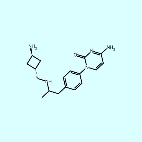 CC(Cc1ccc(-n2ccc(N)nc2=O)cc1)NC[C@H]1C[C@H](N)C1